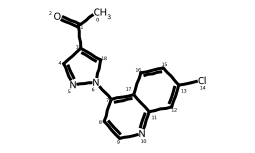 CC(=O)c1cnn(-c2ccnc3cc(Cl)ccc23)c1